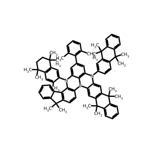 Cc1cc2c(cc1N1c3cc(-c4c(C)cccc4C)cc4c3B(c3cc5c(cc3N4c3ccc4c(c3)C(C)(C)c3ccccc3C4(C)C)C(C)(C)c3ccccc3C5(C)C)c3ccc4c(c31)-c1ccccc1C4(C)C)C(C)(C)CCC2(C)C